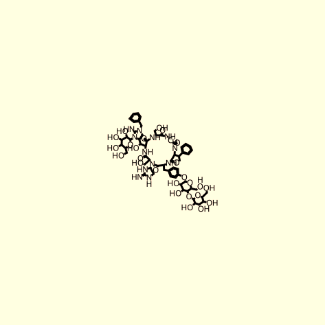 CC(c1ccccc1)C1NC(=O)CNC(=O)C(CO)NC(=O)C(C(O)C2CN(Cc3ccccc3)C(=N)N2C2OC(CO)C(O)C(O)C2O)NC(=O)C(CO)N(C2CNC(=N)N2)C(=O)C(Cc2ccc(OC3OC(CO)C(OC4OC(CO)C(O)C(O)C4O)C(O)C3O)cc2)NC1=O